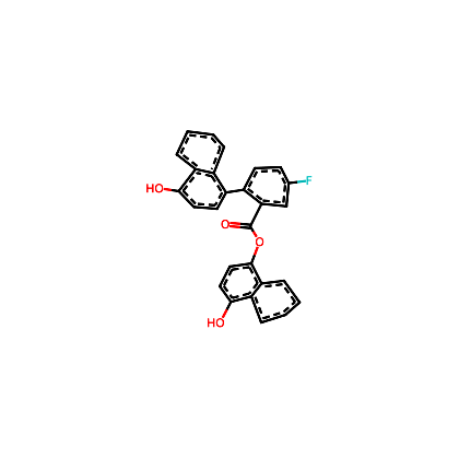 O=C(Oc1ccc(O)c2ccccc12)c1cc(F)ccc1-c1ccc(O)c2ccccc12